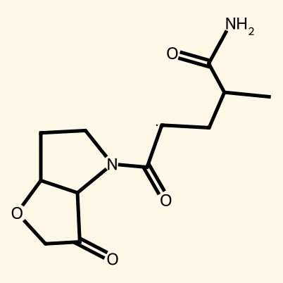 CC(C[CH]C(=O)N1CCC2OCC(=O)C21)C(N)=O